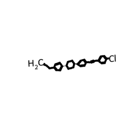 C=CCCc1ccc([C@H]2CC[C@H](c3ccc(C#Cc4ccc(Cl)cc4)cc3)CC2)cc1